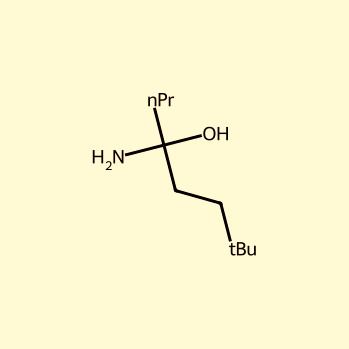 CCCC(N)(O)CCC(C)(C)C